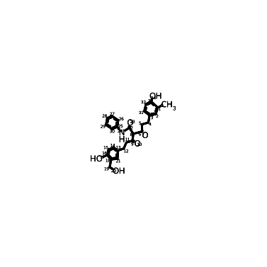 Cc1cc(CCC(=O)C(C(=O)CCc2ccc(O)c(CO)c2)C(=O)Nc2ccccc2)ccc1O